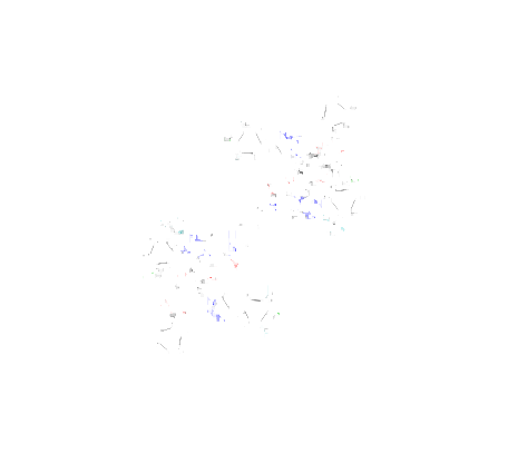 Cc1nc([C@H]2OC3CO[C@H](c4ccccc4)OC3[C@@H](n3cc(-c4cc(F)c(Cl)c(F)c4)nn3)[C@@H]2OCC(=O)NCCCCNC(=O)CO[C@@H]2[C@@H](n3cc(-c4cc(F)c(Cl)c(F)c4)nn3)[C@H]3O[C@@H](c4ccccc4)OC[C@H]3O[C@H]2c2nc(C)nn2-c2cc(Cl)ccc2C(F)(F)F)n(-c2cc(Cl)ccc2C(F)(F)F)n1